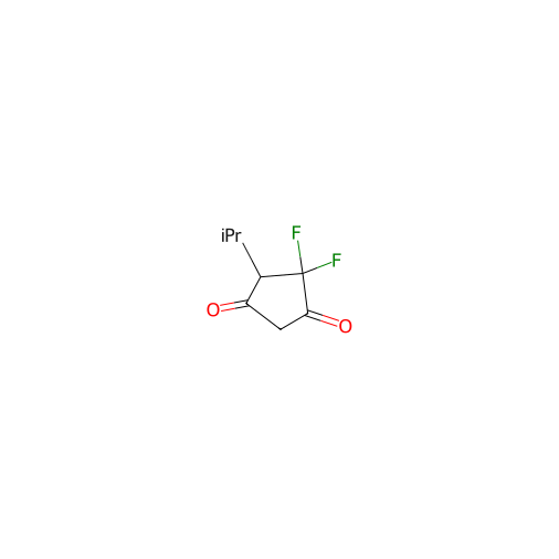 CC(C)C1C(=O)CC(=O)C1(F)F